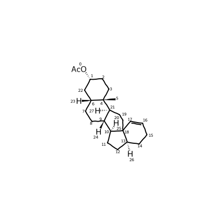 CC(=O)O[C@@H]1CC[C@@]2(C)[C@H](CC[C@H]3[C@@H]4CC[C@@H]5CCC=CC54CC[C@@H]32)C1